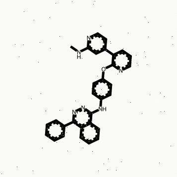 CNc1cc(-c2cccnc2Oc2ccc(Nc3nnc(-c4ccccc4)c4ccccc34)cc2)ccn1